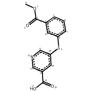 COC(=O)c1cccc(Sc2cncc(C(=O)O)c2)c1